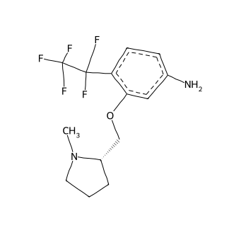 CN1CCC[C@H]1COc1cc(N)ccc1C(F)(F)C(F)(F)F